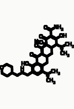 CN(C)c1cc(CNCC2CCOCC2)c(O)c2c1CC1CC3C(N(C)C)C(O)=C(C(N)=O)C(=O)C3(O)C(O)=C1C2=O